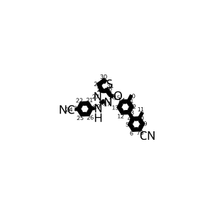 Cc1cc(-c2ccc(C#N)cc2C)ccc1Oc1nc(Nc2ccc(C#N)cc2)nc2ccsc12